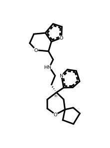 c1ccc([C@]2(CCNCC3OCCc4ccoc43)CCOC3(CCCC3)C2)nc1